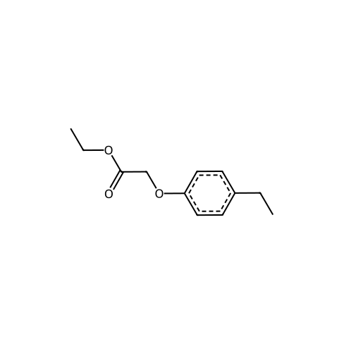 CCOC(=O)COc1ccc(CC)cc1